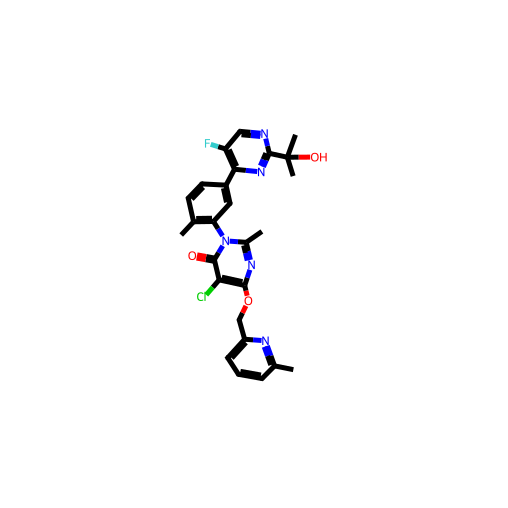 Cc1cccc(COc2nc(C)n(-c3cc(-c4nc(C(C)(C)O)ncc4F)ccc3C)c(=O)c2Cl)n1